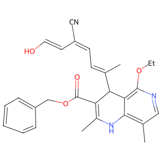 CCOc1ncc(C)c2c1C(/C(C)=C/C=C(C#N)\C=C\O)C(C(=O)OCc1ccccc1)=C(C)N2